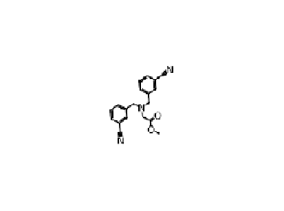 COC(=O)CN(Cc1cccc(C#N)c1)Cc1cccc(C#N)c1